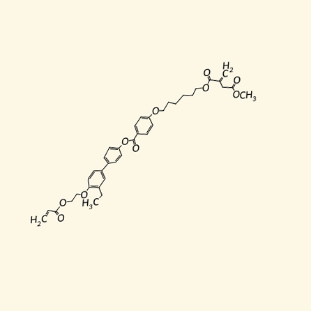 C=CC(=O)OCCOc1ccc(-c2ccc(OC(=O)c3ccc(OCCCCCCOC(=O)C(=C)CC(=O)OC)cc3)cc2)cc1CC